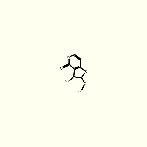 CCCOC1Sc2cc[nH]c(=O)c2C1CCC